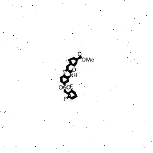 COC(=O)c1ccc(C=C2Sc3ccc(S(=O)(=O)Cc4c(F)cccc4F)cc3NC2=O)cc1